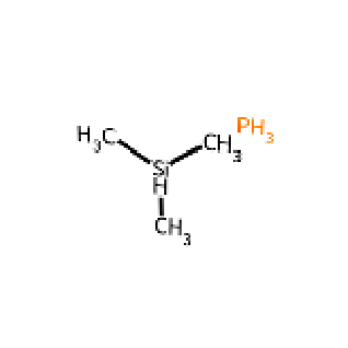 C[SiH](C)C.P